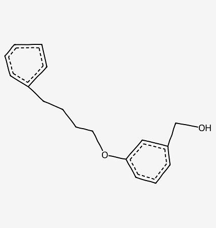 OCc1cccc(OCCCCc2ccccc2)c1